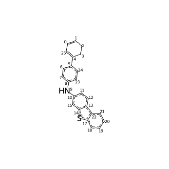 C1=CCCC(c2ccc(Nc3ccc4c(c3)sc3ccccc34)cc2)=C1